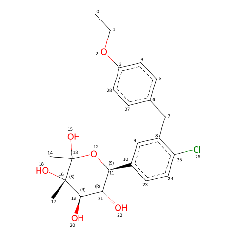 CCOc1ccc(Cc2cc([C@@H]3OC(C)(O)[C@@](C)(O)[C@H](O)[C@H]3O)ccc2Cl)cc1